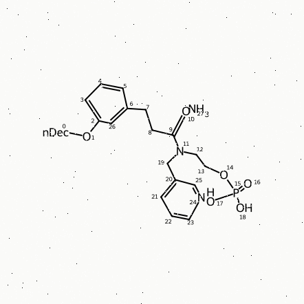 CCCCCCCCCCOc1cccc(CCC(=O)N(CCOP(=O)(O)O)Cc2cccnc2)c1.N